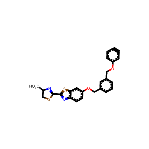 O=C(O)C1CSC(c2nc3ccc(OCc4cccc(COc5cc#ccc5)c4)cc3s2)=N1